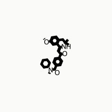 COc1ccc2c(c1)C(=CC(=O)c1ccc(C(=O)N(C)C3CCCCC3)cc1)NC(C)(C)C2